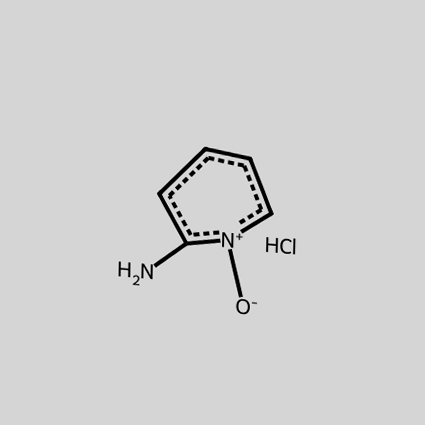 Cl.Nc1cccc[n+]1[O-]